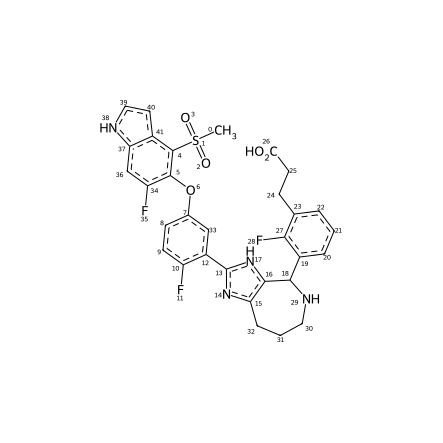 CS(=O)(=O)c1c(Oc2ccc(F)c(-c3nc4c([nH]3)C(c3cccc(CCC(=O)O)c3F)NCCC4)c2)c(F)cc2[nH]ccc12